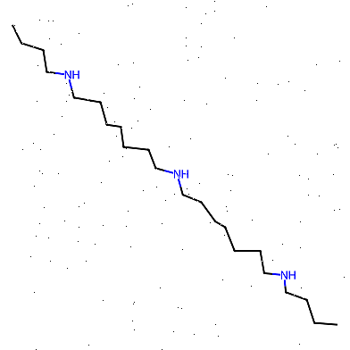 CCCCNCCCCCCCNCCCCCCCNCCCC